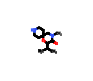 CC(C)C1OC2(CCNCC2)CN(C)C1=O